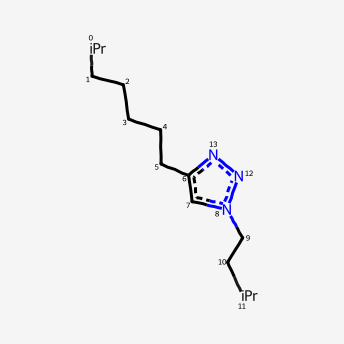 CC(C)CCCCCc1cn(CCC(C)C)nn1